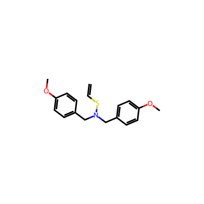 C=CSN(Cc1ccc(OC)cc1)Cc1ccc(OC)cc1